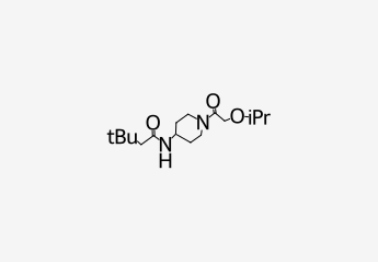 CC(C)OCC(=O)N1CCC(NC(=O)CC(C)(C)C)CC1